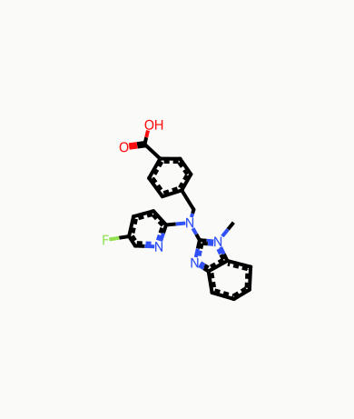 Cn1c(N(Cc2ccc(C(=O)O)cc2)c2ccc(F)cn2)nc2ccccc21